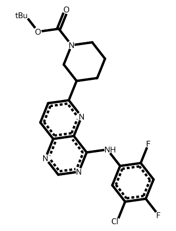 CC(C)(C)OC(=O)N1CCCC(c2ccc3ncnc(Nc4cc(Cl)c(F)cc4F)c3n2)C1